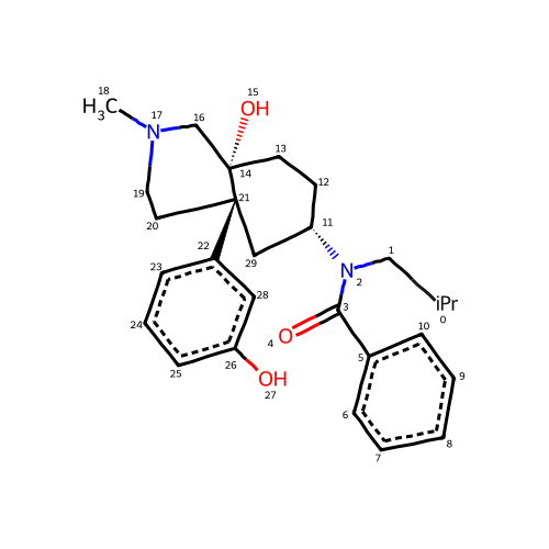 CC(C)CN(C(=O)c1ccccc1)[C@H]1CC[C@]2(O)CN(C)CC[C@@]2(c2cccc(O)c2)C1